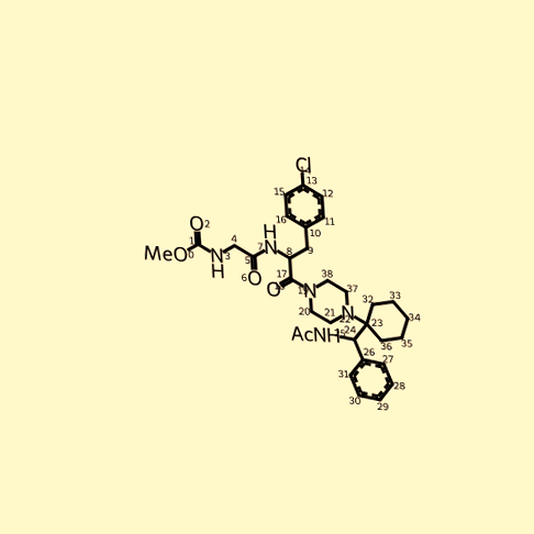 COC(=O)NCC(=O)NC(Cc1ccc(Cl)cc1)C(=O)N1CCN(C2(C(NC(C)=O)c3ccccc3)CCCCC2)CC1